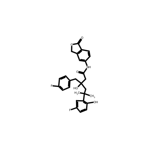 CC(C)(CC(O)(CC(=O)Nc1ccc2c(c1)COC2=O)Cc1ccc(F)cc1)c1cc(F)ccc1O